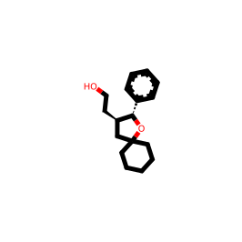 OCC[C@@H]1CC2(CCCCC2)O[C@H]1c1ccccc1